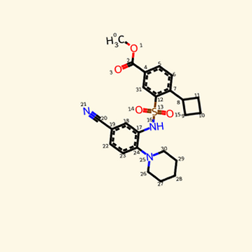 COC(=O)c1ccc(C2CCC2)c(S(=O)(=O)Nc2cc(C#N)ccc2N2CCCCC2)c1